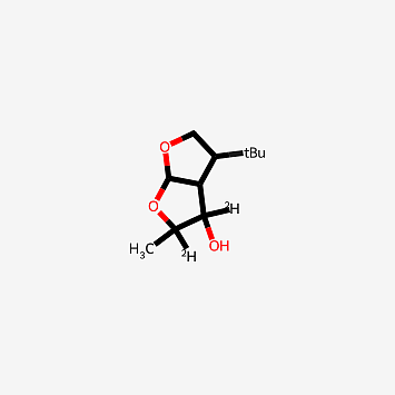 [2H]C1(C)OC2OCC(C(C)(C)C)C2C1([2H])O